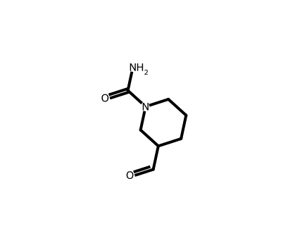 NC(=O)N1CCCC(C=O)C1